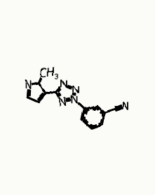 CC1N=CC=C1c1nnn(-c2cccc(C#N)c2)n1